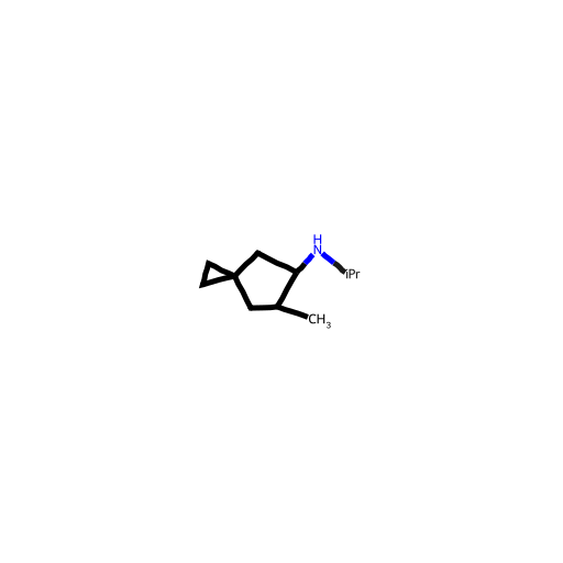 CC(C)NC1CC2(CC2)CC1C